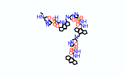 CCNC1COc2c(S(=O)(=O)NC(=O)Nc3c4c(cc5c3C(CN(C)[C@@H]3COc6c(S(=O)(=O)NC(=O)Nc7c8c(c(CN(C)[C@H]9COc%10c(S(=O)(=O)NC(=O)Nc%11c%12c(cc%13c%11CCC%13)CCC%12)cnn%10C9)c9c7CCC9)CCC8)cnn6C3)CC5)CCC4)cnn2C1